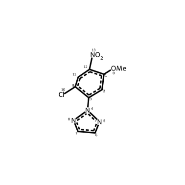 COc1cc(-n2nccn2)c(Cl)cc1[N+](=O)[O-]